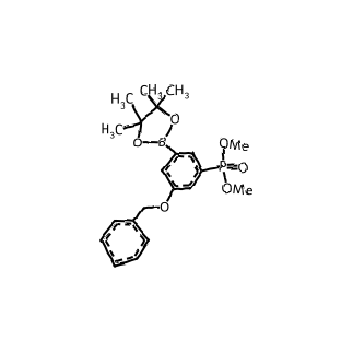 COP(=O)(OC)c1cc(OCc2ccccc2)cc(B2OC(C)(C)C(C)(C)O2)c1